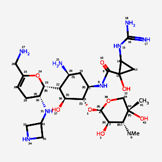 CN[C@@H]1[C@@H](O)[C@@H](O[C@H]2[C@H](NC(=O)C3(O)CC3NC(=N)N)C[C@H](N)C([C@H]3OC(CN)=CC[C@H]3NC3CNC3)[C@@H]2O)OC[C@]1(C)O